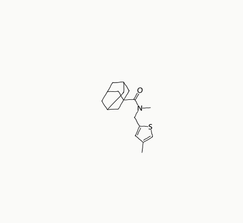 Cc1csc(CN(C)C(=O)C23CC4CC(CC(C4)C2)C3)c1